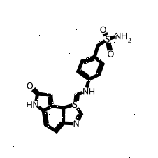 NS(=O)(=O)Cc1ccc(NC=S2C=NC3=CC=C4NC(=O)C=C4C32)cc1